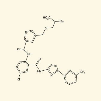 CC(C)(C)C(CSCc1cccc(C(=O)Nc2ccc(Cl)cc2C(=O)Nc2ccn(-c3cccc(C(F)(F)F)c3)n2)c1)C(=O)O